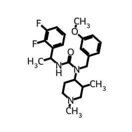 COc1cccc(CN(C(=O)NC(C)c2cccc(F)c2F)C2CCN(C)CC2C)c1